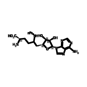 CCCNC(CC[C@H](N)C(=O)O)C[C@H]1O[C@@H](n2cnc3c(N)ncnc32)[C@H](O)[C@@H]1O